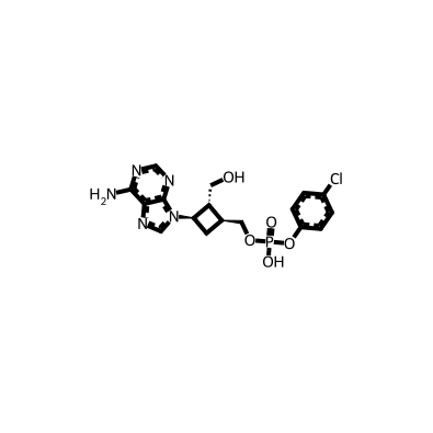 Nc1ncnc2c1ncn2[C@@H]1C[C@H](COP(=O)(O)Oc2ccc(Cl)cc2)[C@H]1CO